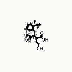 CCC[C@H](C(=O)O)[C@@H](Cc1ccccc1C(F)(F)F)c1nnn[nH]1